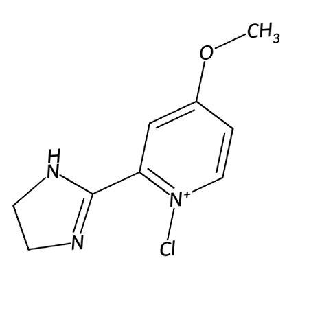 COc1cc[n+](Cl)c(C2=NCCN2)c1